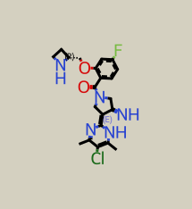 CC1=N/C(=C2\CN(C(=O)c3ccc(F)cc3OC[C@H]3CCN3)CC2=N)NC(C)=C1Cl